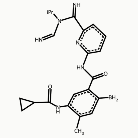 Bc1cc(C)c(NC(=O)C2CC2)cc1C(=O)Nc1cccc(C(=N)N(C=N)C(C)C)n1